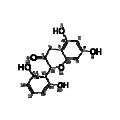 O=C1Cc2c(O)cc(O)cc2OC1c1c(O)cccc1O